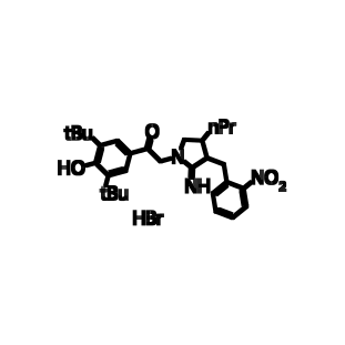 Br.CCCC1CN(CC(=O)c2cc(C(C)(C)C)c(O)c(C(C)(C)C)c2)C(=N)C1Cc1ccccc1[N+](=O)[O-]